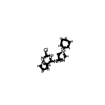 Clc1nc(Nc2cn(-c3c[c]ccc3)cn2)c2cccn2n1